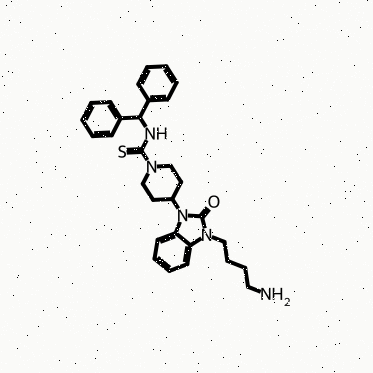 NCCCCn1c(=O)n(C2CCN(C(=S)NC(c3ccccc3)c3ccccc3)CC2)c2ccccc21